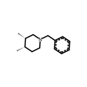 C[C@@H]1CN(Cc2ccccc2)CC[C@@H]1C